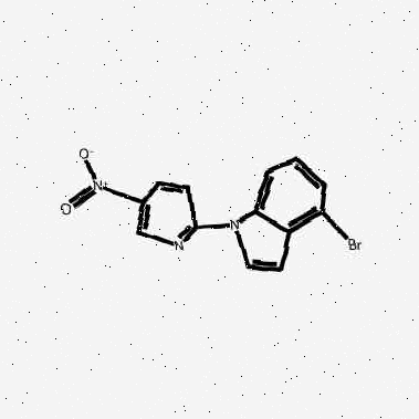 O=[N+]([O-])c1ccc(-n2ccc3c(Br)cccc32)nc1